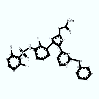 CNC(=O)Cc1nc(-c2cccc(NS(=O)(=O)c3c(F)cccc3F)c2F)c(-c2ccnc(Nc3ccccc3)n2)s1